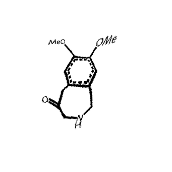 COc1cc2c(cc1OC)C(=O)CNC2